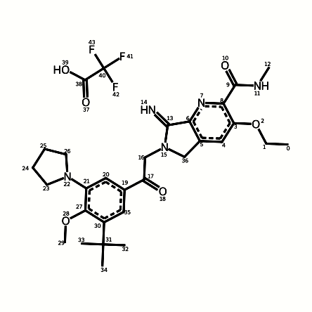 CCOc1cc2c(nc1C(=O)NC)C(=N)N(CC(=O)c1cc(N3CCCC3)c(OC)c(C(C)(C)C)c1)C2.O=C(O)C(F)(F)F